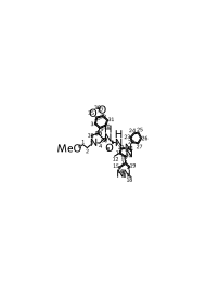 COCCN1C[C@@H](NC(=O)Nc2c(C)c(-c3cnn(C)c3)nn2-c2ccccc2)[C@H](c2ccc3c(c2)OCO3)C1